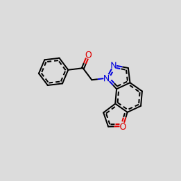 O=C(Cn1ncc2ccc3occc3c21)c1ccccc1